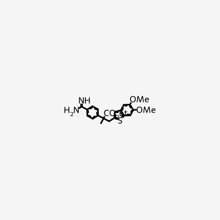 CCOC(=O)C(C)(Cc1cc2cc(OC)c(OC)cc2s1)c1ccc(C(=N)N)cc1